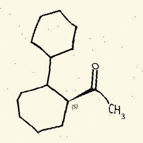 CC(=O)[C@H]1CCCCC1C1CCCCC1